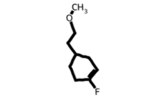 COCCC1CC=C(F)CC1